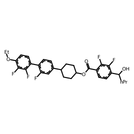 CCCC(O)c1ccc(C(=O)OC2CCC(c3ccc(-c4ccc(OCC)c(F)c4F)c(F)c3)CC2)c(F)c1F